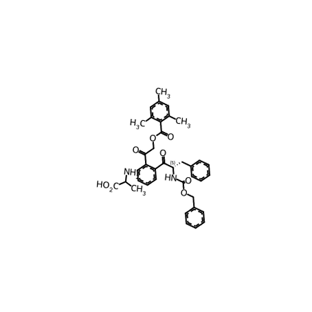 CC(N)C(=O)O.Cc1cc(C)c(C(=O)OCC(=O)c2ccccc2C(=O)[C@H](Cc2ccccc2)NC(=O)OCc2ccccc2)c(C)c1